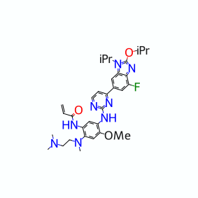 C=CC(=O)Nc1cc(Nc2nccc(-c3cc(F)c4nc(OC(C)C)n(C(C)C)c4c3)n2)c(OC)cc1N(C)CCN(C)C